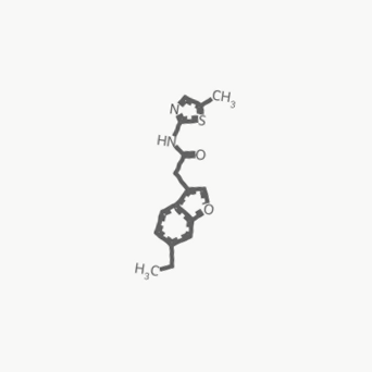 CCc1ccc2c(CC(=O)Nc3ncc(C)s3)coc2c1